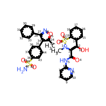 CN1C(C(=O)Nc2ccccn2)=C(O)c2ccccc2S1(=O)=O.Cc1onc(-c2ccccc2)c1-c1ccc(S(N)(=O)=O)cc1